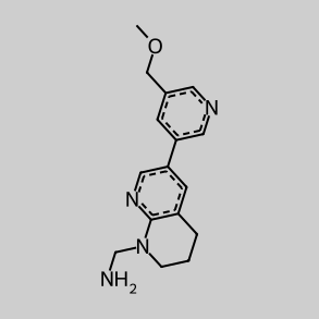 COCc1cncc(-c2cnc3c(c2)CCCN3CN)c1